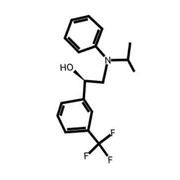 CC(C)N(C[C@H](O)c1cccc(C(F)(F)F)c1)c1ccccc1